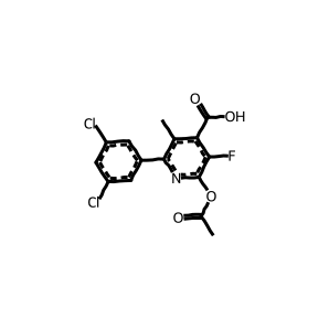 CC(=O)Oc1nc(-c2cc(Cl)cc(Cl)c2)c(C)c(C(=O)O)c1F